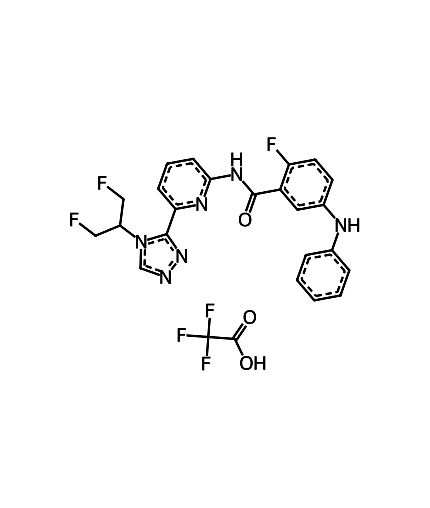 O=C(Nc1cccc(-c2nncn2C(CF)CF)n1)c1cc(Nc2ccccc2)ccc1F.O=C(O)C(F)(F)F